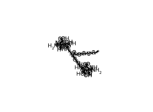 C#CCOCCOCCOCCOCCC(=O)N(CCCCNC(=O)O[C@@H]([C@@H]1OC(C(=O)O)=C[C@H](NC(=N)N)[C@H]1NC(C)=O)[C@H](O)CO)CCOCCOCCNC(=O)O[C@@H]([C@@H]1OC(C(=O)O)=C[C@H](NC(=N)N)[C@H]1NC(C)=O)[C@H](O)CO